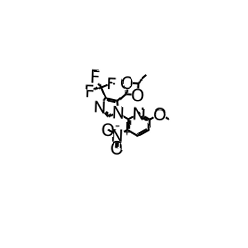 COc1ccc([N+](=O)[O-])c(-n2cnc(C(F)(F)F)c2C2OC(C)O2)n1